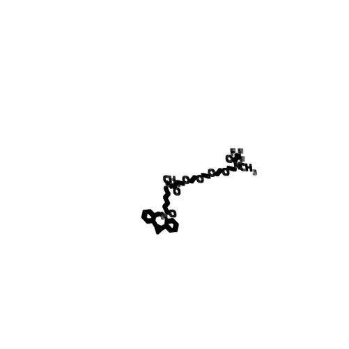 CN(CCCCCC(=O)N1Cc2ccccc2C2=C(C2)c2ccccc21)C(=O)CCOCCOCCOCCOCCN(C)C(=O)C(F)(F)F